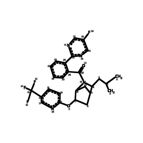 CC(C)CC1C2CC(Oc3ccc(C(F)(F)F)cn3)C(C2)N1C(=O)c1ccccc1-c1ncc(F)cn1